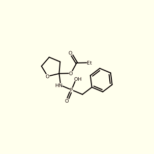 CCC(=O)OC1(NP(=O)(O)Cc2ccccc2)CCCO1